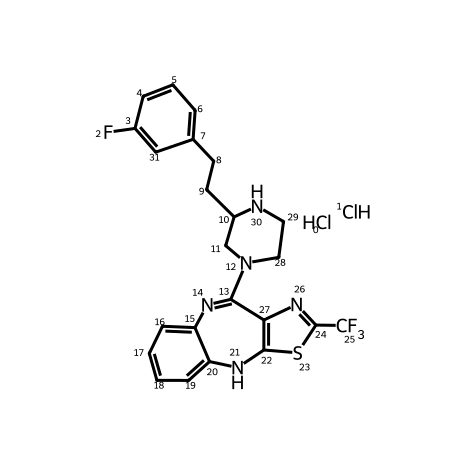 Cl.Cl.Fc1cccc(CCC2CN(C3=Nc4ccccc4Nc4sc(C(F)(F)F)nc43)CCN2)c1